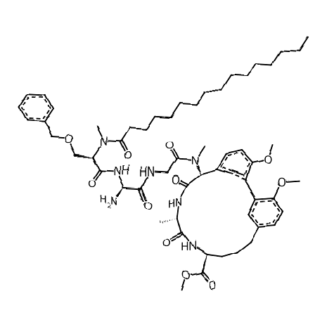 CCCCCCCCCCCCCCCC(=O)N(C)[C@H](COCc1ccccc1)C(=O)N[C@H](N)C(=O)NCC(=O)N(C)[C@@H]1C(=O)N[C@@H](C)C(=O)N[C@H](C(=O)OC)CCCc2ccc(OC)c(c2)-c2cc1ccc2OC